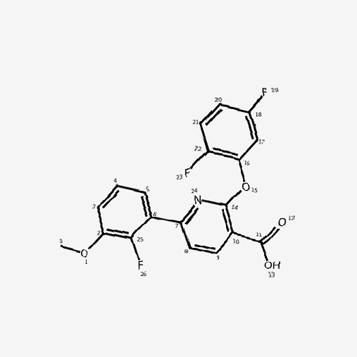 COc1cccc(-c2ccc(C(=O)O)c(Oc3cc(F)ccc3F)n2)c1F